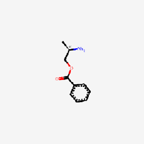 C[C@@H](N)COC(=O)c1ccccc1